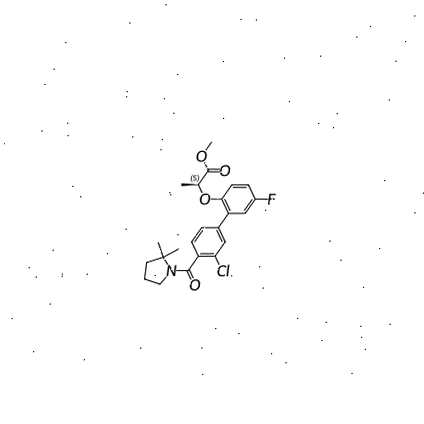 COC(=O)[C@H](C)Oc1ccc(F)cc1-c1ccc(C(=O)N2CCCC2(C)C)c(Cl)c1